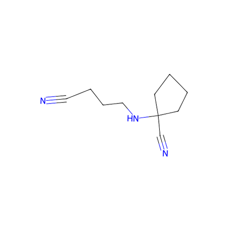 N#CCCCNC1(C#N)CCCC1